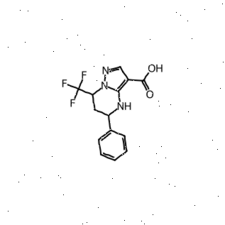 O=C(O)c1cnn2c1NC(c1ccccc1)CC2C(F)(F)F